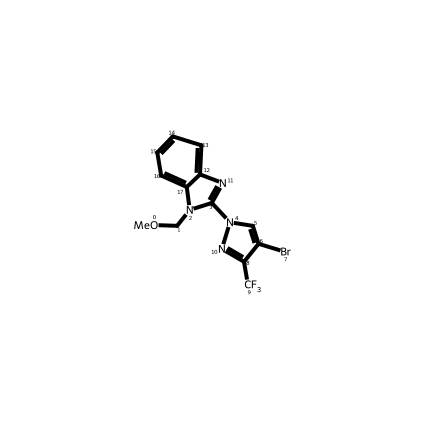 COCn1c(-n2cc(Br)c(C(F)(F)F)n2)nc2ccccc21